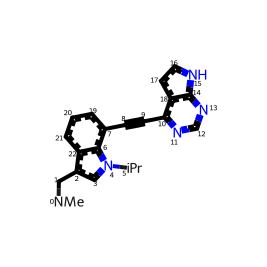 CNCc1cn(C(C)C)c2c(C#Cc3ncnc4[nH]ccc34)cccc12